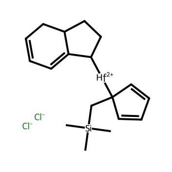 C[Si](C)(C)C[C]1([Hf+2][CH]2CCC3CC=CC=C32)C=CC=C1.[Cl-].[Cl-]